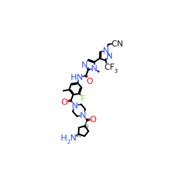 Cc1cc(NC(=O)c2ncc(-c3cn(CC#N)nc3C(F)(F)F)n2C)cc(F)c1C(=O)N1CCN(C(=O)[C@H]2CC[C@@H](N)C2)CC1